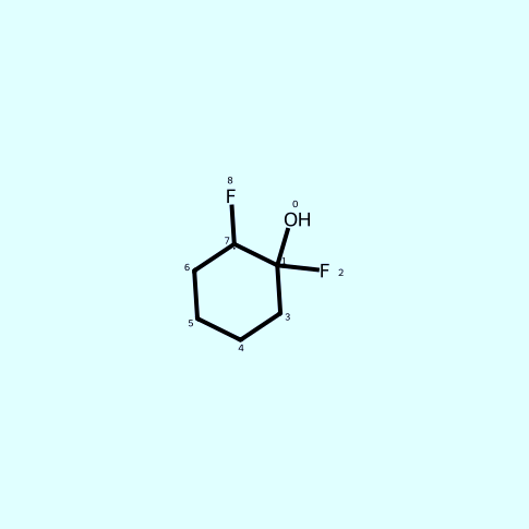 OC1(F)CCCC[C]1F